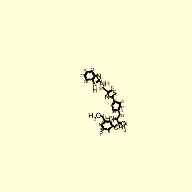 CCc1cc(F)cc(C)c1NC(Cc1ccc(-c2nc(CNc3nc4ccccc4[nH]3)cs2)cc1)C(=O)O